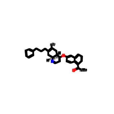 CCCC1=C(CCCc2ccccc2)C[C@@H]2N=CC=C(Oc3ccc4c(C(=O)NC)cccc4c3)[C@@H]2C1